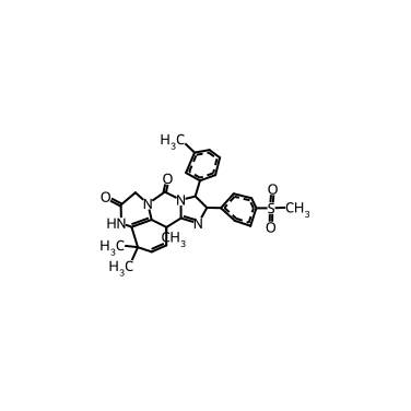 Cc1cccc(C2C(c3ccc(S(C)(=O)=O)cc3)N=C3N2C(=O)N2CC(=O)NC4=C2C3(C)C=CC4(C)C)c1